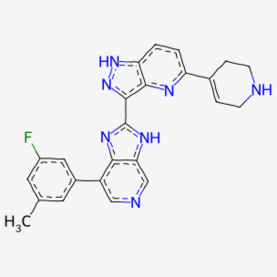 Cc1cc(F)cc(-c2cncc3[nH]c(-c4n[nH]c5ccc(C6=CCNCC6)nc45)nc23)c1